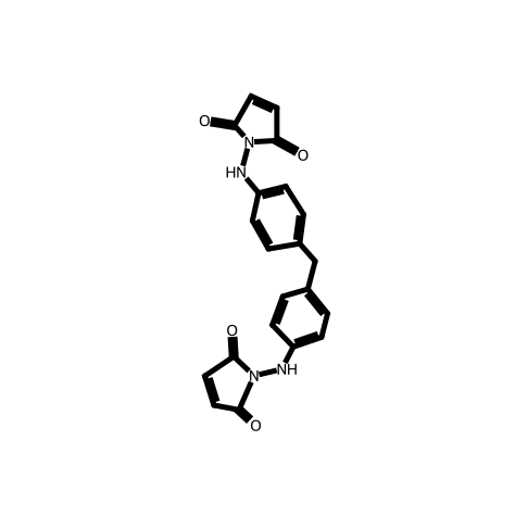 O=C1C=CC(=O)N1Nc1ccc(Cc2ccc(NN3C(=O)C=CC3=O)cc2)cc1